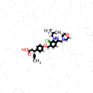 CC#C[C@@H](CC(=O)O)c1ccc(OCc2ccc3c(CN4CCOCC4)nn(CC(C)C)c3c2Cl)cc1